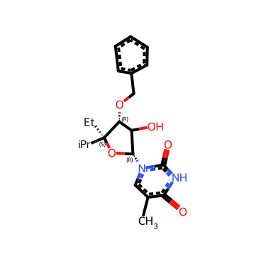 CC[C@@]1(C(C)C)O[C@@H](n2cc(C)c(=O)[nH]c2=O)C(O)[C@H]1OCc1ccccc1